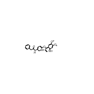 C=C/C(OC1=CC=C(NC(=O)Cc2ccccc2)CN1)=C1/C=C(OC)C(OC)=CC1=N